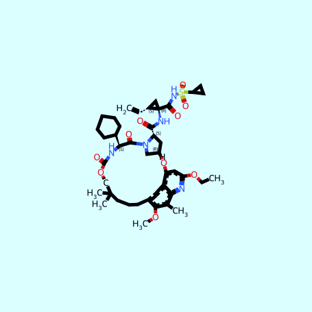 C=C[C@@H]1C[C@]1(NC(=O)[C@@H]1C[C@@H]2CN1C(=O)[C@H](C1CCCCC1)NC(=O)OCC(C)(C)CCCc1cc3c(cc(OCC)nc3c(C)c1OC)O2)C(=O)NS(=O)(=O)C1CC1